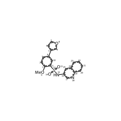 COc1ccc(-c2ccoc2)cc1S(=O)(=O)Nc1cnc2ccccc2c1